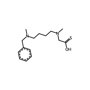 CN(CCCCN(C)Cc1ccccc1)CC(O)=S